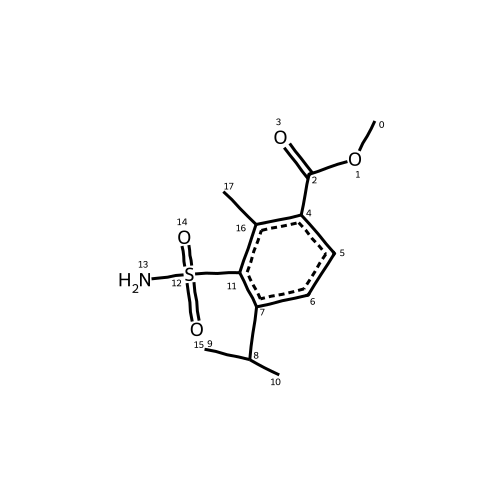 COC(=O)c1ccc(C(C)C)c(S(N)(=O)=O)c1C